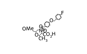 COCC1CN(S(=O)(=O)c2ccc(OCc3ccc(F)cc3)cc2)C(C(=O)O)C(C)O1